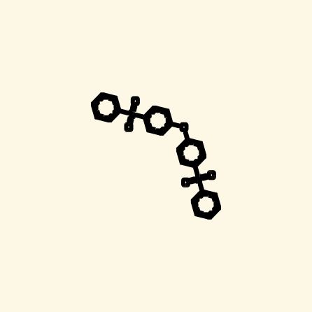 O=S(=O)(c1ccccc1)c1ccc(Oc2ccc(S(=O)(=O)c3ccccc3)cc2)cc1